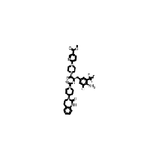 COC(=O)c1ccc(N2CCN(C(=O)[C@@H](Cc3cc(Cl)c(N)c(C(F)(F)F)c3)OC(=O)N3CCC(N4CCc5ccccc5NC4=O)CC3)CC2)nc1